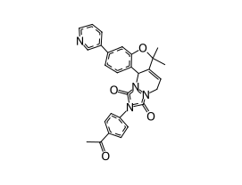 CC(=O)c1ccc(-n2c(=O)n3n(c2=O)C2C(=CC3)C(C)(C)Oc3cc(-c4cccnc4)ccc32)cc1